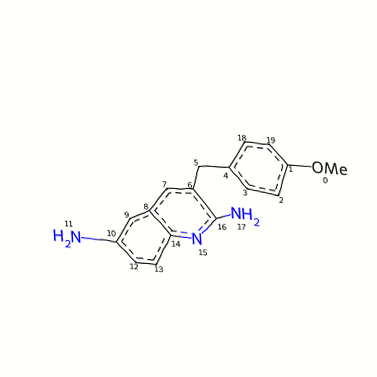 COc1ccc(Cc2cc3cc(N)ccc3nc2N)cc1